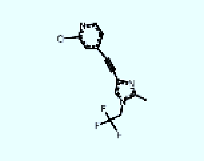 Cc1nc(C#Cc2ccnc(Cl)c2)cn1CC(F)(F)F